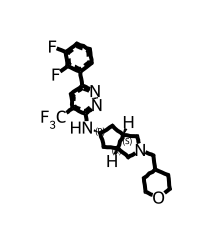 Fc1cccc(-c2cc(C(F)(F)F)c(N[C@@H]3C[C@@H]4CN(CC5CCOCC5)C[C@@H]4C3)nn2)c1F